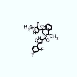 CC1c2ccccc2C(C)(c2cnn(C)c2F)CN1C(=O)c1cc(-c2ccc(F)cc2F)on1